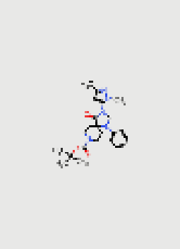 Cc1cc(N2CN(c3ccccc3)C3(CCN(C(=O)OC(C)(C)C)CC3)C2=O)n(C)n1